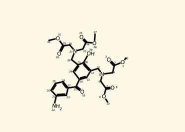 COC(=O)CN(CC(=O)OC)Cc1cc(C(=O)c2cccc(N)c2)cc(CN(CC(=O)OC)CC(=O)OC)c1O